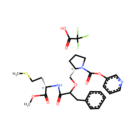 COC(=O)[C@H](CCSC)NC(=O)C(Cc1ccccc1)OC[C@@H]1CCCN1C(=O)Oc1cccnc1.O=C(O)C(F)(F)F